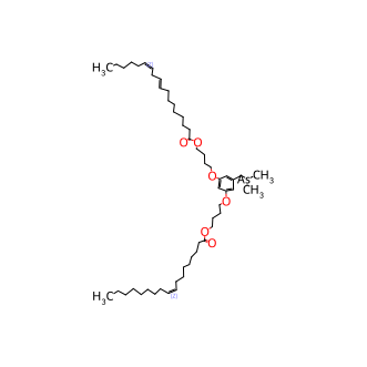 CCCCC/C=C\CC=CCCCCCCCC(=O)OCCCCOc1cc(C[As](C)C)cc(OCCCCOC(=O)CCCCCCC/C=C\CCCCCCCC)c1